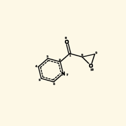 O=C(c1ccccn1)C1CO1